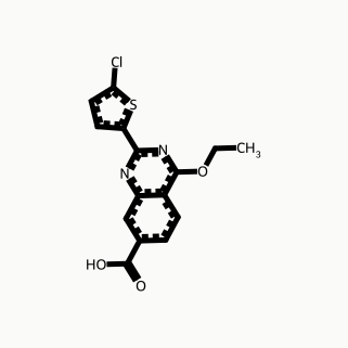 CCOc1nc(-c2ccc(Cl)s2)nc2cc(C(=O)O)ccc12